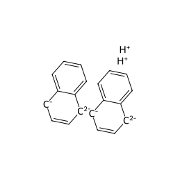 [C-2]1C=C[CH-]c2ccccc21.[C-2]1C=C[CH-]c2ccccc21.[H+].[H+]